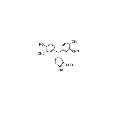 O=Cc1cc(C(c2ccc(O)c(C=O)c2)c2ccc(O)c(C=O)c2)ccc1O